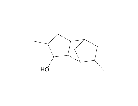 CC1CC2C3CC(C)C(C3)C2C1O